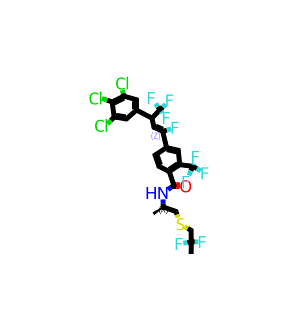 C[C@H](CSCC(C)(F)F)NC(=O)c1ccc(/C(F)=C/C(c2cc(Cl)c(Cl)c(Cl)c2)C(F)(F)F)cc1C(F)(F)F